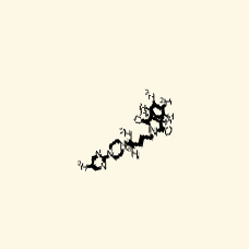 [2H]C1=C([2H])[C@@H]2C[C@H]1[C@@H]1C(=O)N(CCCC([2H])([2H])N3CCN(c4ncc([2H])cn4)CC3)C(=O)[C@@H]12